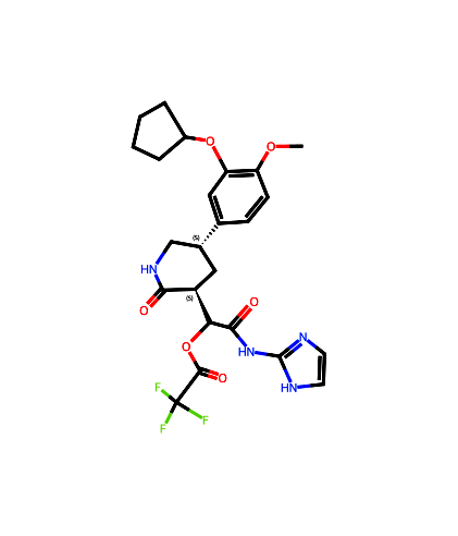 COc1ccc([C@H]2CNC(=O)[C@H](C(OC(=O)C(F)(F)F)C(=O)Nc3ncc[nH]3)C2)cc1OC1CCCC1